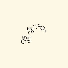 O=C(CCCc1nc2ccccc2c(=O)[nH]1)NC1CCC(Oc2ccc(F)cc2)CC1